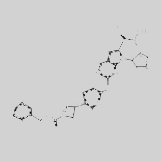 CN(C)C(=O)c1cc2cnc(Nc3ccc(C4CN(C(=O)OCc5ccccc5)C4)cn3)nc2n1C1CCCC1